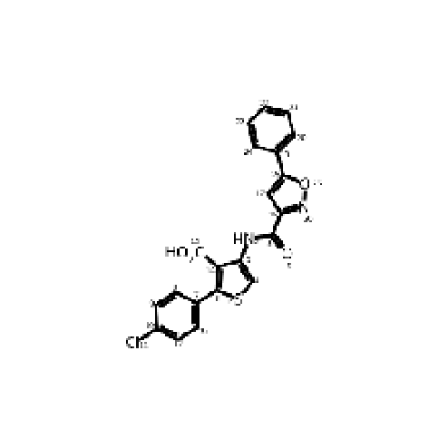 O=C(Nc1csc(-c2ccc(Cl)cc2)c1C(=O)O)c1cc(-c2ccccc2)on1